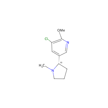 COc1ncc([C@@H]2CCCN2C)cc1Cl